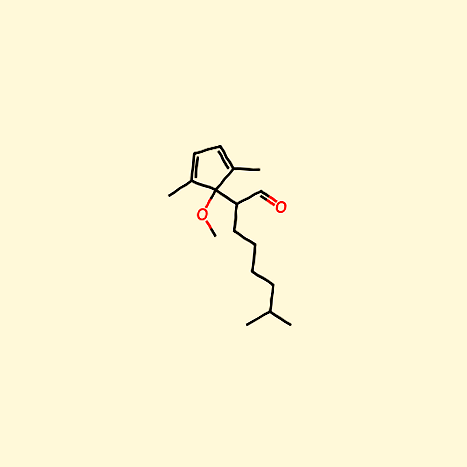 COC1(C(C=O)CCCCC(C)C)C(C)=CC=C1C